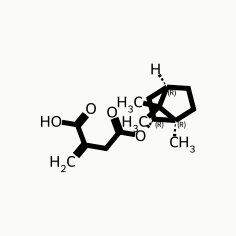 C=C(CC(=O)O[C@@H]1C[C@H]2CC[C@]1(C)C2(C)C)C(=O)O